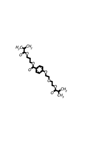 C=C(C)C(=O)OCCCOC(=O)c1ccc(OCCOCCOC(=O)C(=C)C)cc1